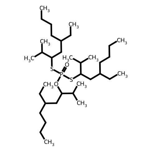 CCCCC(CC)CC(OP(=O)(SC(CC(CC)CCCC)C(C)C)SC(CC(CC)CCCC)C(C)C)C(C)C